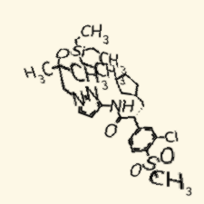 CC[Si](CC)(CC)OC(C)(C)Cn1ccc(NC(=O)[C@H](CC2CCCC2)c2ccc(S(C)(=O)=O)c(Cl)c2)n1